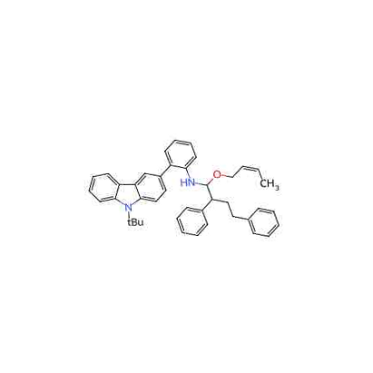 C/C=C\COC(Nc1ccccc1-c1ccc2c(c1)c1ccccc1n2C(C)(C)C)C(CCc1ccccc1)c1ccccc1